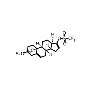 CC(=O)O[C@H]1CC[C@@]2(C)C(=CC[C@@H]3[C@@H]2CC[C@]2(C)C(OS(=O)(=O)C(F)(F)F)=CC[C@@H]32)C1